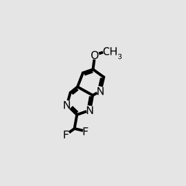 COc1cnc2nc(C(F)F)ncc2c1